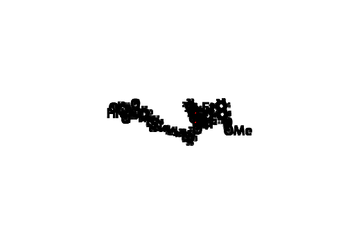 CCc1cccc2cc(OCOC)cc(-c3ncc4c(N5CC6CCC(C5)N6C(=O)OC(C)(C)C)nc(OC[C@@H]5CCCN5CCCCCCN5CCN(c6ccc7c(c6)CN([C@H]6CCC(=O)NC6=O)C7=O)CC5)nc4c3F)c12